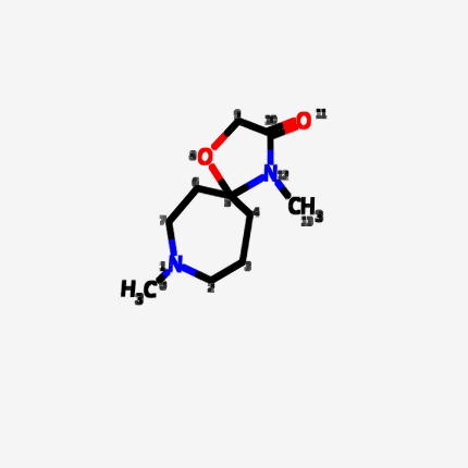 CN1CCCC2(CC1)OCC(=O)N2C